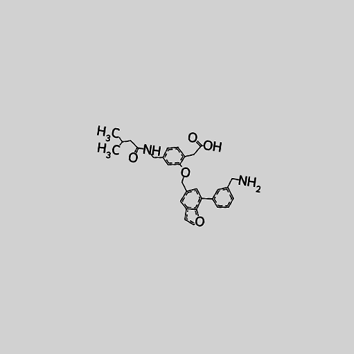 CC(C)CC(=O)NCc1ccc(CC(=O)O)c(OCc2cc(-c3cccc(CN)c3)c3occc3c2)c1